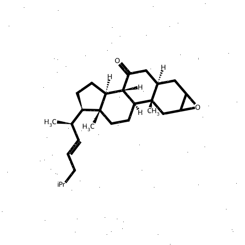 CC(C)C/C=C/[C@@H](C)[C@H]1CC[C@H]2[C@@H]3C(=O)C[C@H]4CC5OC5C[C@]4(C)[C@H]3CC[C@]12C